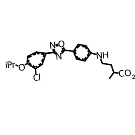 CC(C)Oc1ccc(-c2noc(-c3ccc(NCCC(C)C(=O)O)cc3)n2)cc1Cl